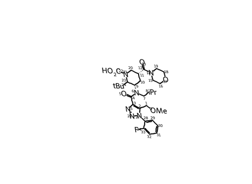 COCc1c(C(=O)N(CC(C)C)[C@H]2C[C@@H](C(=O)N3CCOCC3)CN(C(=O)O)C2C(C)(C)C)nnn1-c1ccccc1F